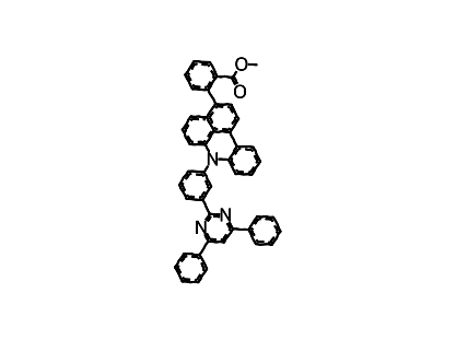 COC(=O)c1ccccc1-c1ccc2c3c(cccc13)N(c1cccc(-c3nc(-c4ccccc4)cc(-c4ccccc4)n3)c1)c1ccccc1-2